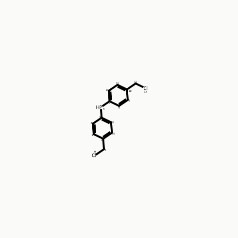 ClCc1ccc(Pc2ccc(CCl)cc2)cc1